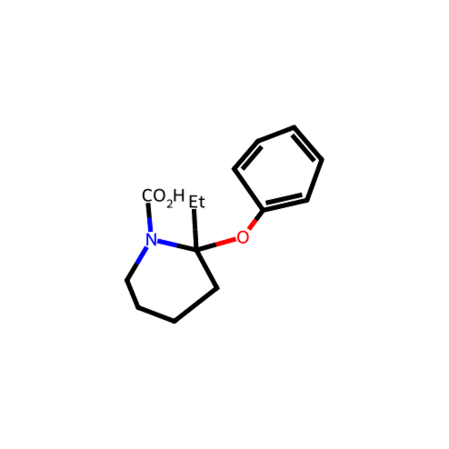 CCC1(Oc2ccccc2)CCCCN1C(=O)O